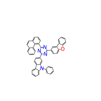 c1ccc(-n2c3ccccc3c3ccc(-c4nc(-c5ccc6oc7ccccc7c6c5)nc(-c5cccc6ccc7ccccc7c56)n4)cc32)cc1